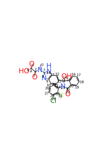 CN(C(=O)C(=O)O)c1nc2ccc(C3(O)c4ccccc4C(=O)N3c3cccc(Cl)c3F)cc2[nH]1